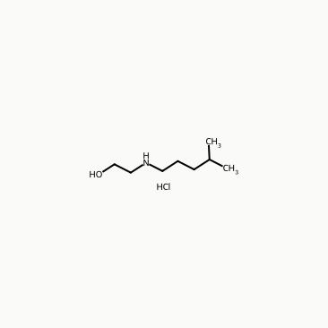 CC(C)CCCNCCO.Cl